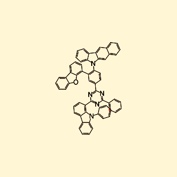 c1ccc(-c2nc(-c3ccc(-n4c5ccccc5c5cc6ccccc6cc54)c(-c4cccc5c4oc4ccccc45)c3)nc(-c3cccc4c5ccccc5n(-c5ccccc5)c34)n2)cc1